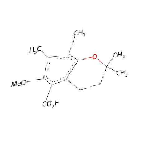 COc1c(C)c(C)c2c(c1C(=O)O)CCC(C)(C)O2